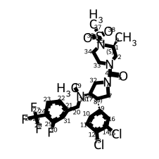 C[C@H]1CN(C(=O)N2C[C@H](c3ccc(Cl)c(Cl)c3)[C@@H](N(C)Cc3ccc(C(F)(F)F)c(F)c3)C2)CCN1S(C)(=O)=O